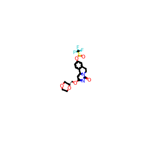 O=c1nc(OC[C@H]2COCCO2)cc2n1CCc1cc(OS(=O)C(F)(F)F)ccc1-2